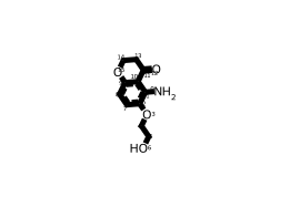 Nc1c(OCCO)ccc2c1C(=O)CCO2